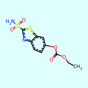 CCOC(=O)Oc1ccc2nc(S(N)(=O)=O)sc2c1